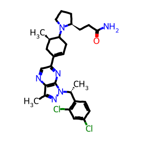 Cc1nn([C@H](C)c2ccc(Cl)cc2Cl)c2nc(C3=CCC(N4CCC[C@H]4CCC(N)=O)[C@H](C)C3)cnc12